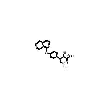 CCC(c1ccc(Oc2nccc3ccncc23)cc1)C(N)C(=O)O